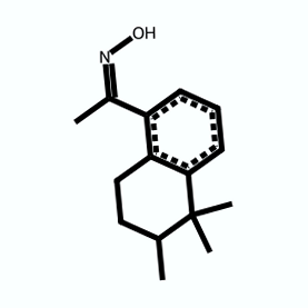 C/C(=N/O)c1cccc2c1CCC(C)C2(C)C